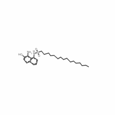 CCCCCCCCCCCCCCCCS(=O)(=O)Nc1cccc2ccc(O)c(N)c12